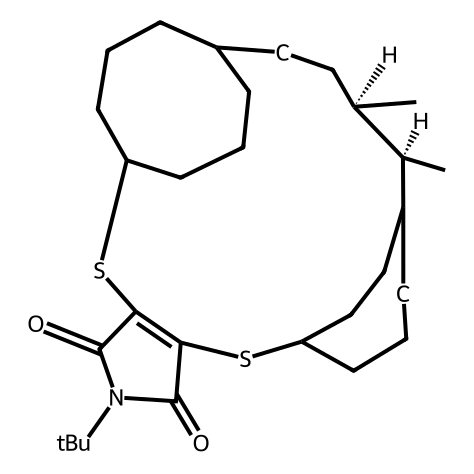 C[C@@H]1CCC2CCCC(CCC2)SC2=C(SC3CCCC(CC3)[C@@H]1C)C(=O)N(C(C)(C)C)C2=O